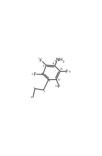 CCCc1c(F)c(F)c(N)c(F)c1F